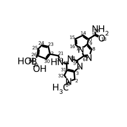 CN1Cc2nc(-c3ncc4c(C(N)=O)cccn34)nc(NCc3cccc(B(O)O)c3)c2C1